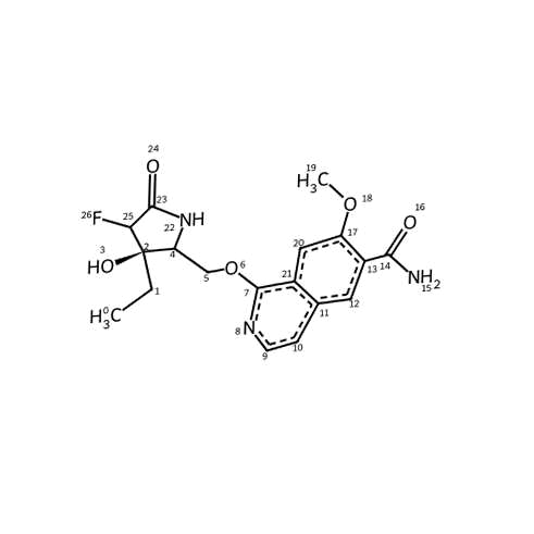 CC[C@@]1(O)C(COc2nccc3cc(C(N)=O)c(OC)cc23)NC(=O)C1F